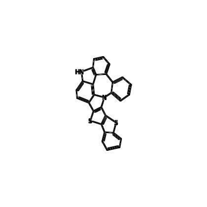 c1ccc2c(c1)sc1c2sc2c3ccc4[nH]c5cccc6c7ccccc7n(c21)c3c4c56